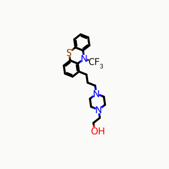 OCCN1CCN(CCCc2cccc3c2N(C(F)(F)F)c2ccccc2S3)CC1